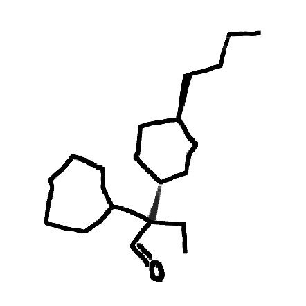 CCCC[C@H]1CC[C@H](C(C=O)(CC)C2CCCCC2)CC1